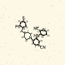 N#Cc1ccc(N2CCC(Cc3ccc(F)cc3F)CC2)c(Nc2cccnc2C#N)c1